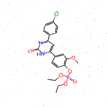 CCOP(=O)(OCC)Oc1ccc(-c2cc(-c3ccc(Cl)cc3)nc(=O)[nH]2)cc1OC